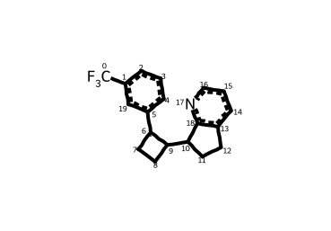 FC(F)(F)c1cccc([C]2CCC2C2CCc3cccnc32)c1